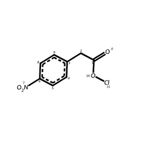 O=C(Cc1ccc([N+](=O)[O-])cc1)OCl